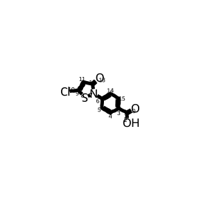 O=C(O)c1ccc(-n2sc(Cl)cc2=O)cc1